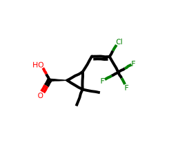 CC1(C)C(/C=C(/Cl)C(F)(F)F)[C@@H]1C(=O)O